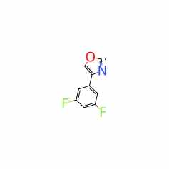 Fc1cc(F)cc(-c2co[c]n2)c1